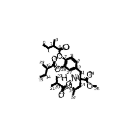 CCC(C)C(=O)Oc1ccc(C[C@](N)(CC(C)OC(=O)C(C)C)C(=O)OC)cc1OC(=O)C(C)CC